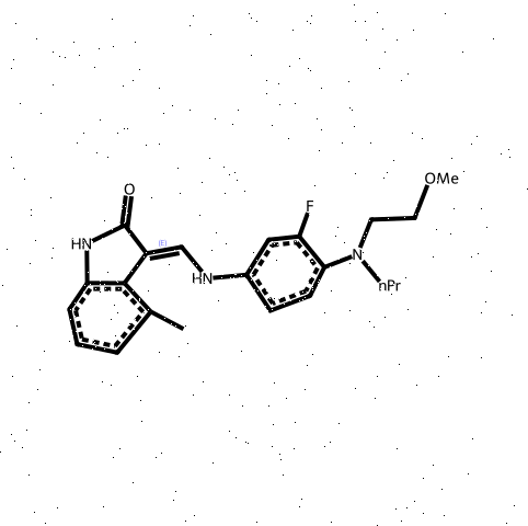 CCCN(CCOC)c1ccc(N/C=C2/C(=O)Nc3cccc(C)c32)cc1F